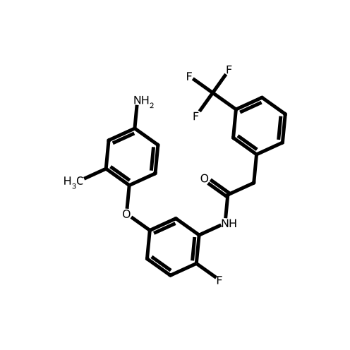 Cc1cc(N)ccc1Oc1ccc(F)c(NC(=O)Cc2cccc(C(F)(F)F)c2)c1